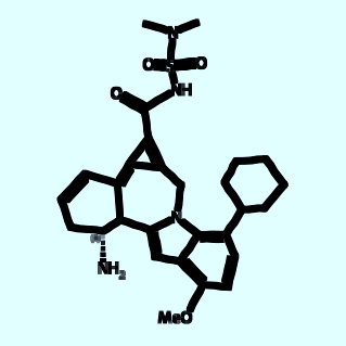 COc1ccc(C2CCCCC2)c2c1cc1n2CC2=C(C(=O)NS(=O)(=O)N(C)C)C2=C2C=CC[C@@H](N)C21